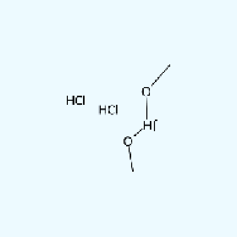 C[O][Hf][O]C.Cl.Cl